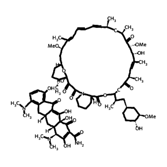 CN(C)c1ccc(O)c2c1C[C@H]1C[C@H]3[C@H](N(C)C)C(O)=C(C(N)=O)C(=O)[C@@]3(O)C(O)=C1C2=O.CO[C@H]1C[C@@H]2CC[C@@H](C)[C@@](O)(O2)C(=O)C(=O)N2CCCC[C@H]2C(=O)O[C@H]([C@H](C)C[C@@H]2CC[C@@H](O)[C@H](OC)C2)CC(=O)[C@H](C)/C=C(\C)[C@@H](O)[C@@H](OC)C(=O)[C@H](C)C[C@H](C)/C=C/C=C/C=C/1C